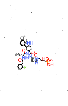 CCC(C)C(NC(=O)Cc1ccccc1F)C(=O)NC1(C(=O)NC(C(=O)NCCCCP(=O)(O)O)C(C)CC)CCc2[nH]c3c(C(F)(F)F)cccc3c2C1